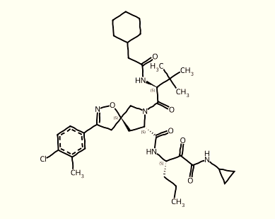 CCC[C@H](NC(=O)[C@@H]1C[C@]2(CC(c3ccc(Cl)c(C)c3)=NO2)CN1C(=O)[C@@H](NC(=O)CC1CCCCC1)C(C)(C)C)C(=O)C(=O)NC1CC1